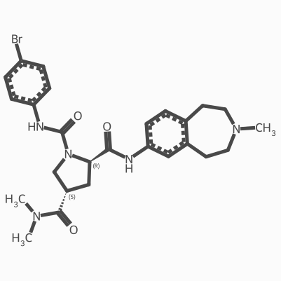 CN1CCc2ccc(NC(=O)[C@H]3C[C@H](C(=O)N(C)C)CN3C(=O)Nc3ccc(Br)cc3)cc2CC1